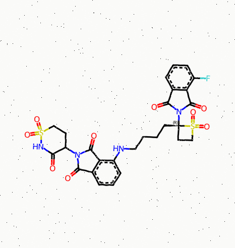 O=C1NS(=O)(=O)CCC1N1C(=O)c2cccc(NCCCC[C@]3(N4C(=O)c5cccc(F)c5C4=O)CCS3(=O)=O)c2C1=O